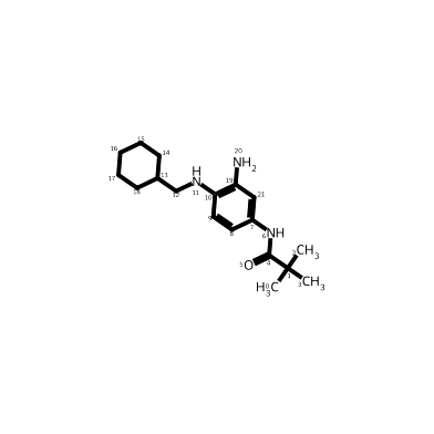 CC(C)(C)C(=O)Nc1ccc(NCC2CCCCC2)c(N)c1